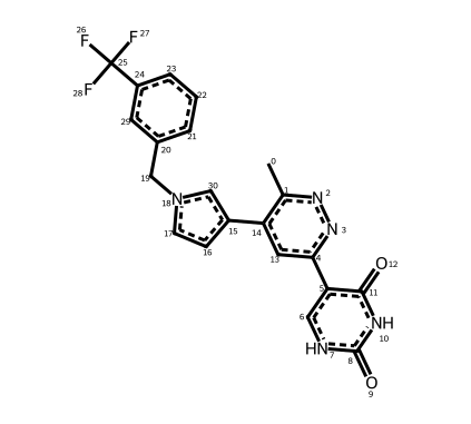 Cc1nnc(-c2c[nH]c(=O)[nH]c2=O)cc1-c1ccn(Cc2cccc(C(F)(F)F)c2)c1